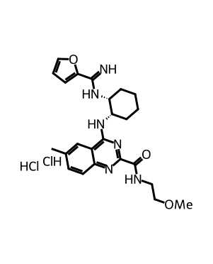 COCCNC(=O)c1nc(N[C@H]2CCCC[C@H]2NC(=N)c2ccco2)c2cc(C)ccc2n1.Cl.Cl